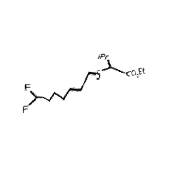 CCOC(=O)C(SCCCCCCC(F)F)C(C)C